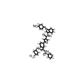 Cc1ccc(Cn2cc(NC(=O)c3cccnn3)c3cc(-c4cc(C(=O)Nc5cn(Cc6ccc(C#N)cc6)c6ccccc56)co4)ccc32)cc1